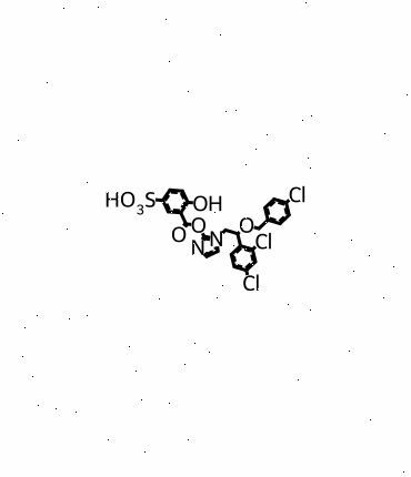 O=C(Oc1nccn1CC(OCc1ccc(Cl)cc1)c1ccc(Cl)cc1Cl)c1cc(S(=O)(=O)O)ccc1O